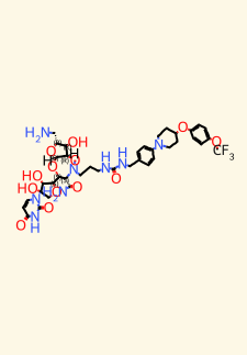 NC[C@H]1O[C@H]2O[C@H]([C@H]3OCC(O)(n4ccc(=O)[nH]c4=O)C3O)[C@@H](C(N)=O)N(CCCNC(=O)NCc3ccc(N4CCC(Oc5ccc(OC(F)(F)F)cc5)CC4)cc3)O[C@@H]2[C@@H]1O